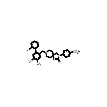 Cc1cc(-c2ccccc2Cl)c(CN2CCC3(CC2)CN(c2ccc(C(=O)O)cc2)C(=O)O3)cc1C(F)(F)F